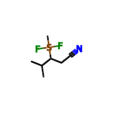 CC(C)C(CC#N)S(C)(F)F